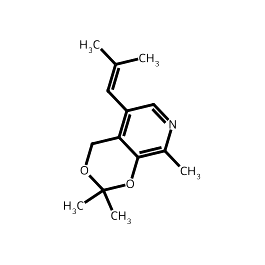 CC(C)=Cc1cnc(C)c2c1COC(C)(C)O2